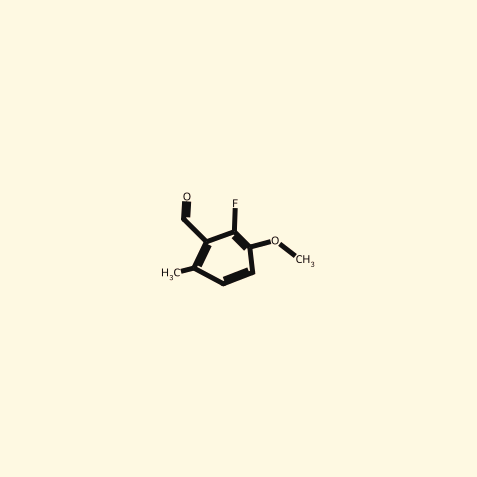 COc1ccc(C)c(C=O)c1F